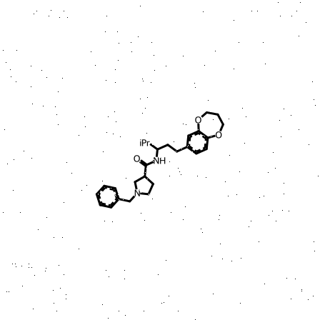 CC(C)C(CCc1ccc2c(c1)OCCCO2)NC(=O)C1CCN(Cc2ccccc2)C1